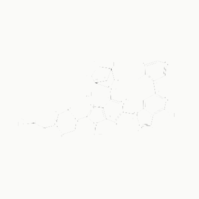 Cc1nc(-c2cnccc2O)cc2c1cnn2-c1cc2c(nc(N3CCN(CCO)CC3)n2C)c(N2C[C@H]3C[C@@H]2CO3)n1